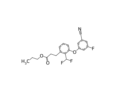 CCCOC(=O)CCc1cccc(Oc2cc(F)cc(C#N)c2)c1C(F)F